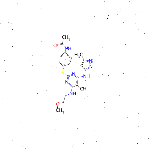 COCCNc1nc(Sc2ccc(NC(C)=O)cc2)nc(Nc2cc(C)[nH]n2)c1C